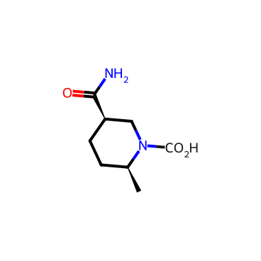 C[C@H]1CC[C@@H](C(N)=O)CN1C(=O)O